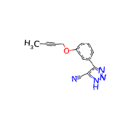 CC#CCOc1cccc(-c2nn[nH]c2C#N)c1